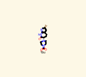 CC(C)(C)OC(=O)N1CCN([C@H]2CCc3cc(Br)cnc3NC2=O)CC1